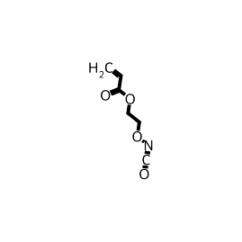 C=CC(=O)OCCON=C=O